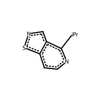 CC(C)c1nccc2sncc12